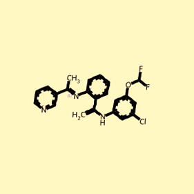 C=C(Nc1cc(Cl)cc(OC(F)F)c1)c1ccccc1/N=C(\C)c1cccnc1